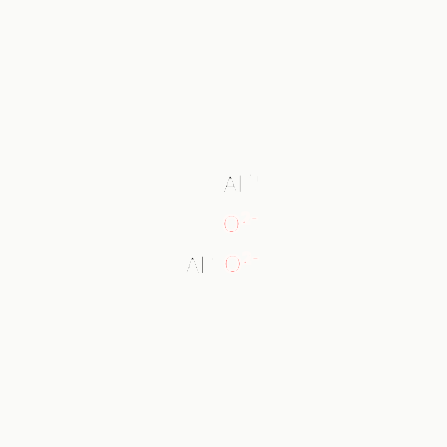 [Al+3].[Al+3].[O-2].[O-2]